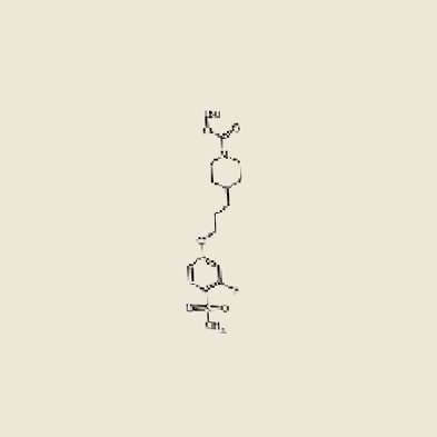 CC(C)(C)OC(=O)N1CCC(CCCOc2ccc(S(C)(=O)=O)c(F)c2)CC1